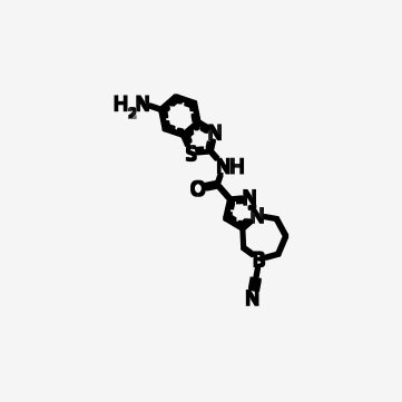 N#CB1CCCn2nc(C(=O)Nc3nc4ccc(N)cc4s3)cc2C1